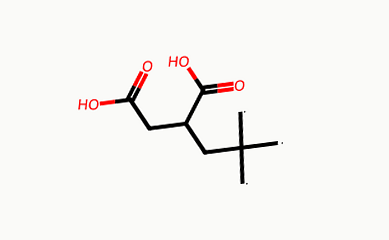 [CH2]C([CH2])([CH2])CC(CC(=O)O)C(=O)O